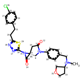 CN(Cc1ccc(N2C[C@]3(CC2=O)C(=O)N3c2nnc(CCc3ccc(Cl)cc3)s2)cc1)C1CCOC1